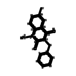 CCCn1c(=O)n(Cc2ccccc2)c(=O)c2cc(C)ccc21